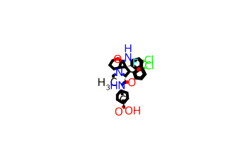 CCN1[C@@H](C(=O)N[C@]23CC[C@](C(=O)O)(CC2)CC3)[C@H](c2cccc(Cl)c2F)[C@]2(C(=O)Nc3cc(Cl)ccc32)C12CCCCC2